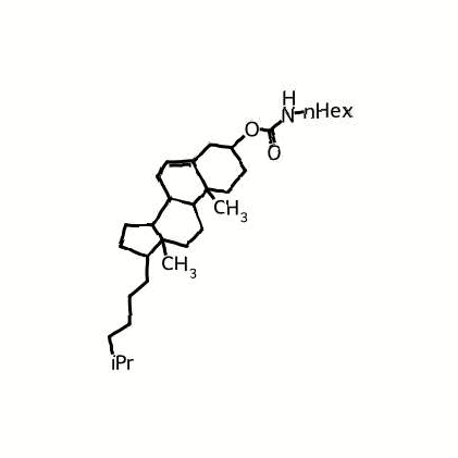 CCCCCCNC(=O)OC1CCC2(C)C(=CCC3C2CCC2(C)C(CCCCC(C)C)CCC32)C1